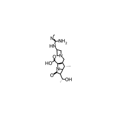 C/N=C(\N)NC1CN(CC2=C(C(=O)O)N3C(=O)C([C@@H](C)O)C3[C@H]2C)C1